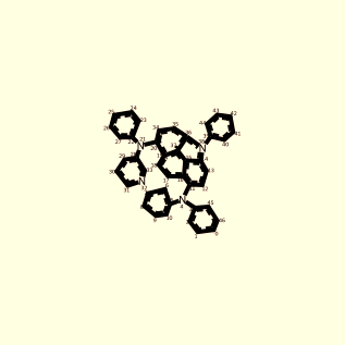 c1ccc(N(c2ccccc2)c2ccc3c4c2ccc2c(N(c5ccccc5)c5cccnc5)ccc(c24)n3-c2ccccc2)cc1